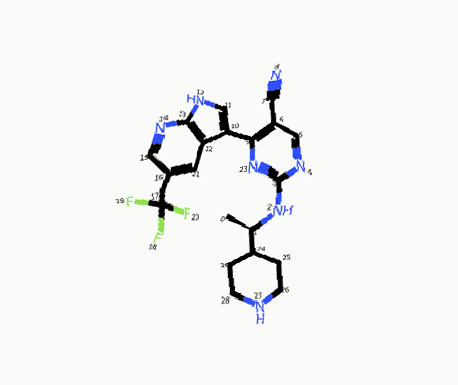 C[C@@H](Nc1ncc(C#N)c(-c2c[nH]c3ncc(C(F)(F)F)cc23)n1)C1CCNCC1